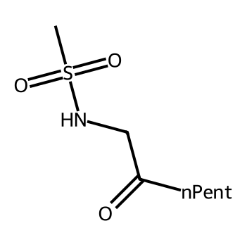 CCCCCC(=O)CNS(C)(=O)=O